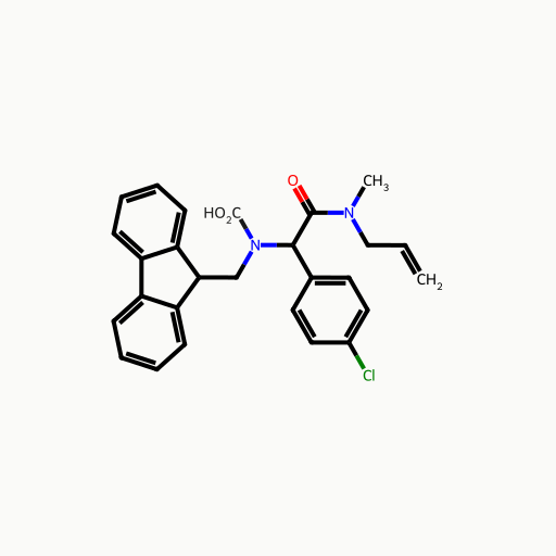 C=CCN(C)C(=O)C(c1ccc(Cl)cc1)N(CC1c2ccccc2-c2ccccc21)C(=O)O